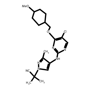 COC1CCC(COc2nc(Nc3cn(C(C)(C)C#N)nc3C)ncc2Cl)CC1